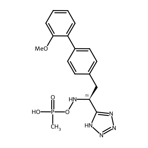 COc1ccccc1-c1ccc(C[C@H](NOP(C)(=O)O)c2nnn[nH]2)cc1